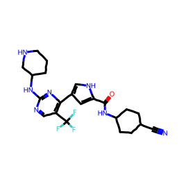 N#CC1CCC(NC(=O)c2cc(-c3nc(NC4CCCNC4)ncc3C(F)(F)F)c[nH]2)CC1